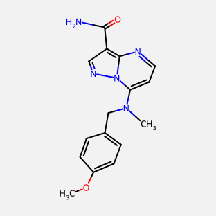 COc1ccc(CN(C)c2ccnc3c(C(N)=O)cnn23)cc1